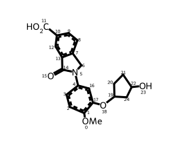 COc1ccc(N2Cc3ccc(C(=O)O)cc3C2=O)cc1OC1CCC(O)C1